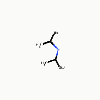 CCC(C)C(C)[N]C(C)C(C)CC